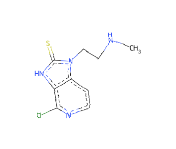 CNCCn1c(=S)[nH]c2c(Cl)nccc21